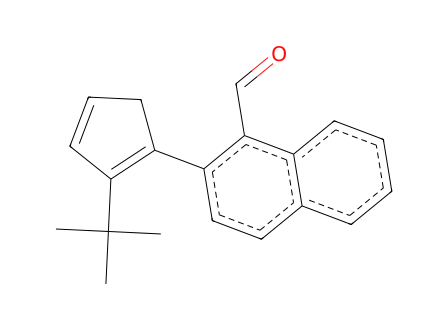 CC(C)(C)C1=C(c2ccc3ccccc3c2C=O)CC=C1